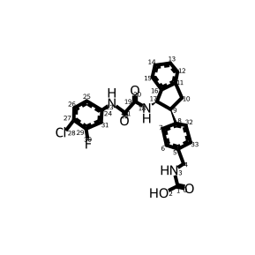 O=C(O)NCc1ccc([C@@H]2Cc3ccccc3[C@H]2NC(=O)C(=O)Nc2ccc(Cl)c(F)c2)cc1